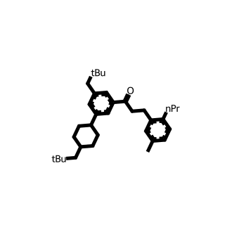 CCCc1ccc(C)cc1CCC(=O)c1cc(CC(C)(C)C)cc(C2CCC(CC(C)(C)C)CC2)c1